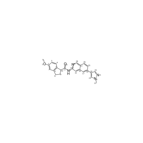 COc1ccc2c(c1)CCC2C(=O)Nc1cc2cc(-c3cnn(C)c3)ccc2cn1